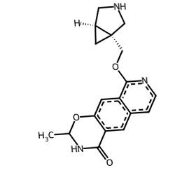 CC1NC(=O)c2cc3ccnc(OC[C@@]45CNC[C@@H]4C5)c3cc2O1